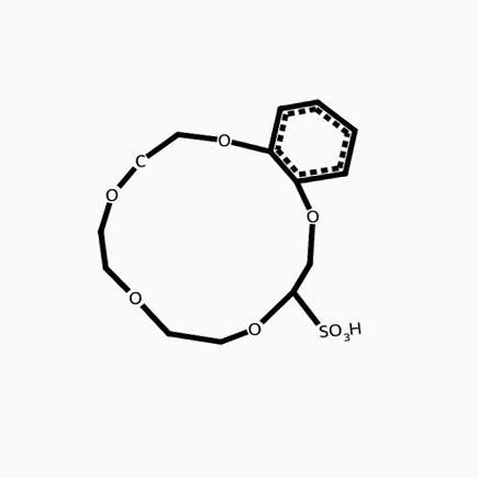 O=S(=O)(O)C1COc2ccccc2OCCOCCOCCO1